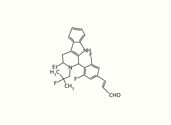 CCC1Cc2c([nH]c3ccccc23)C(c2c(F)cc(/C=C/C=O)cc2F)N1CC(C)(C)F